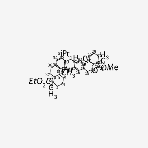 CCOC(=O)C1(C)CCCC2(C)c3cc(Cc4cc5c(cc4C(C)C)CCC4C(C)(C(=O)OC)CCCC54C)c(C(C)C)cc3CCC12